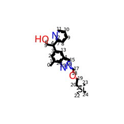 Cc1cc(C(CO)c2ccccn2)cc2cn(COCC[Si](C)(C)C)nc12